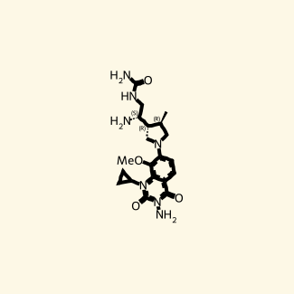 COc1c(N2C[C@H]([C@H](N)CNC(N)=O)[C@@H](C)C2)ccc2c(=O)n(N)c(=O)n(C3CC3)c12